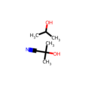 CC(C)(O)C#N.CC(C)O